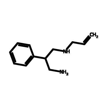 C=CCNCC(CN)c1ccccc1